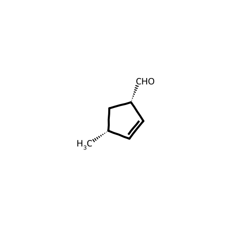 C[C@H]1C=C[C@@H](C=O)C1